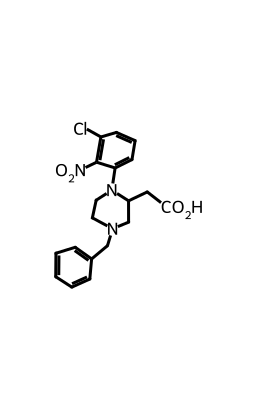 O=C(O)CC1CN(Cc2ccccc2)CCN1c1cccc(Cl)c1[N+](=O)[O-]